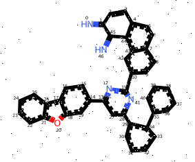 N=C1C=Cc2ccc3ccc(-c4nc(-c5ccc6c(c5)oc5ccccc56)cc(-c5ccccc5-c5ccccc5)n4)cc3c2C1=N